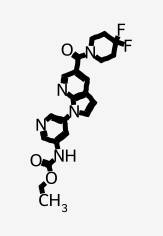 CCOC(=O)Nc1cncc(-n2ccc3cc(C(=O)N4CCC(F)(F)CC4)cnc32)c1